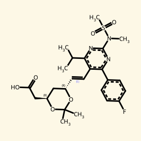 CC(C)c1nc(N(C)S(C)(=O)=O)nc(-c2ccc(F)cc2)c1/C=C/[C@H]1C[C@H](CC(=O)O)OC(C)(C)O1